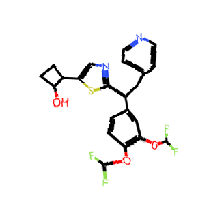 OC1CCC1c1cnc(C(Cc2ccncc2)c2ccc(OC(F)F)c(OC(F)F)c2)s1